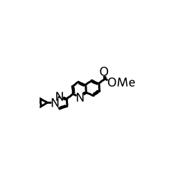 COC(=O)c1ccc2nc(-c3ccn(C4CC4)n3)ccc2c1